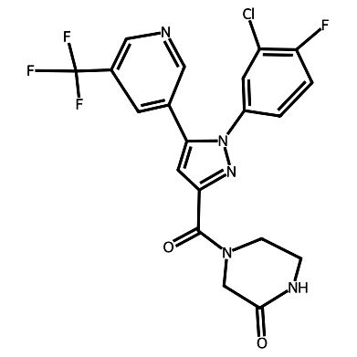 O=C1CN(C(=O)c2cc(-c3cncc(C(F)(F)F)c3)n(-c3ccc(F)c(Cl)c3)n2)CCN1